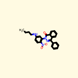 CCCCNc1ccc([N+](=O)[O-])c(-n2nc(-c3ccccc3)c3ccccc3c2=O)c1